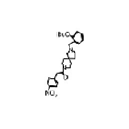 CC(C)COc1ccccc1CN1CCC2(CCN(C(=O)Cc3ccc([N+](=O)[O-])cc3)CC2)C1